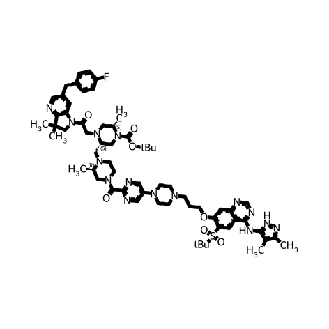 Cc1n[nH]c(Nc2ncnc3cc(OCCCN4CCN(c5cnc(C(=O)N6CCN(C[C@H]7CN(C(=O)OC(C)(C)C)[C@@H](C)CN7CC(=O)N7CC(C)(C)c8ncc(Cc9ccc(F)cc9)cc87)[C@H](C)C6)nc5)CC4)c(S(=O)(=O)C(C)(C)C)cc23)c1C